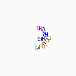 CCN(C(=O)C(C)C[S+]([O-])CC1CC1(F)F)c1cn(-c2ccc[n+]([O-])c2)nc1Cl